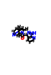 O=C(c1n[nH]c2ncccc12)N1[C@H]2C[C@@H]3CCN(C2)C[C@@H]31